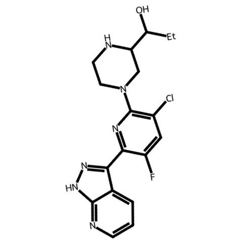 CCC(O)C1CN(c2nc(-c3n[nH]c4ncccc34)c(F)cc2Cl)CCN1